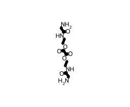 NCC(=O)NCCOC(=O)C(=O)OCCNC(=O)CN